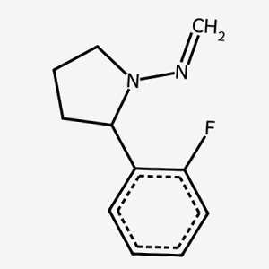 C=NN1CCCC1c1ccccc1F